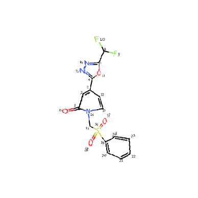 O=c1cc(-c2nnc(C(F)F)o2)ccn1CS(=O)(=O)c1ccccc1